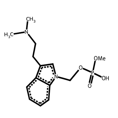 COP(=O)(O)OCn1cc(CCN(C)C)c2ccccc21